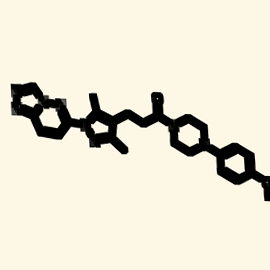 COc1ccc(N2CCN(C(=O)CCc3c(C)nn(-c4ccc5nncn5n4)c3C)CC2)cc1